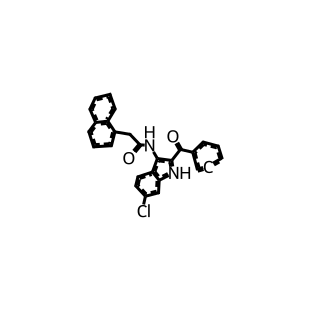 O=C(Cc1cccc2ccccc12)Nc1c(C(=O)c2ccccc2)[nH]c2cc(Cl)ccc12